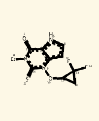 CCn1c(=O)c2[nH]ccc2n(OC2CC2(F)F)c1=S